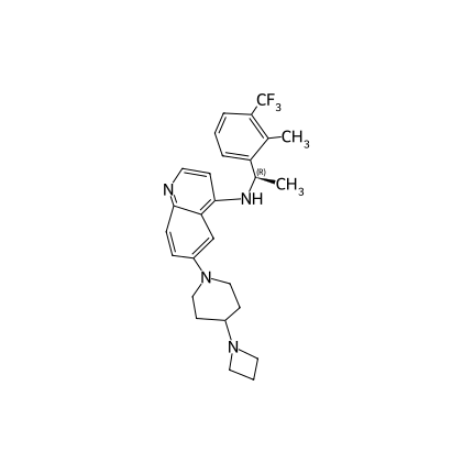 Cc1c([C@@H](C)Nc2ccnc3ccc(N4CCC(N5CCC5)CC4)cc23)cccc1C(F)(F)F